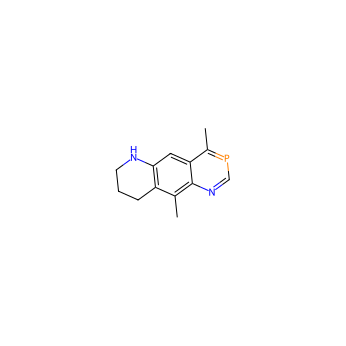 Cc1pcnc2c(C)c3c(cc12)NCCC3